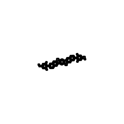 CCc1cc(C)c(-c2ccc3cc4c(cc3c2)oc2cc3c(cc24)oc2cc4cc(-c5c(C)cc(OC)cc5C)ccc4cc23)c(C)c1